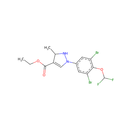 CCOC(=O)C1=CN(c2cc(Br)c(OC(F)F)c(Br)c2)NC1C